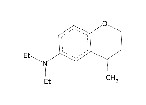 CCN(CC)c1ccc2c(c1)C(C)CCO2